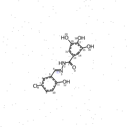 O=C(N/N=C/c1cc(Cl)ccc1O)c1cc(O)c(O)c(O)c1